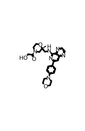 C[C@@]1(CNc2nc(-c3ccc(N4CCOCC4)cc3)cc3nccnc23)CN(C(=O)CO)CCO1